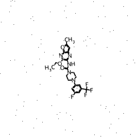 CCOc1nc2oc(C)cc2nc1NC(=O)N1CCN(c2cc(F)cc(C(F)(F)F)c2)CC1